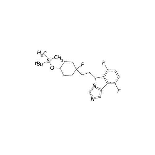 CC(C)(C)[Si](C)(C)OC1CCC(F)(CCC2c3c(F)ccc(F)c3-c3cncn32)CC1